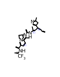 C=C/C=C(\C=C(/C)NC(=C)N1C(C)=C(/C=C\C(=C)C(=C)N[C@H](C)C(F)(F)F)N2CCC1C2)C1=CN=C(C)C1